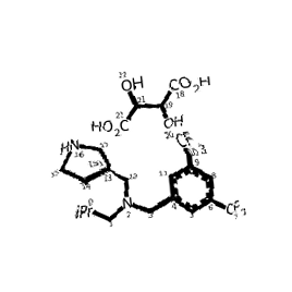 CC(C)CN(Cc1cc(C(F)(F)F)cc(C(F)(F)F)c1)C[C@H]1CCNC1.O=C(O)C(O)C(O)C(=O)O